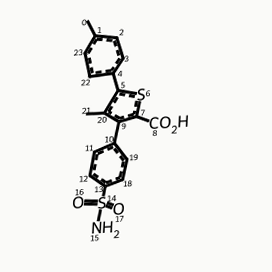 Cc1ccc(-c2sc(C(=O)O)c(-c3ccc(S(N)(=O)=O)cc3)c2C)cc1